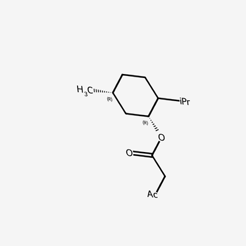 CC(=O)CC(=O)O[C@@H]1C[C@H](C)CCC1C(C)C